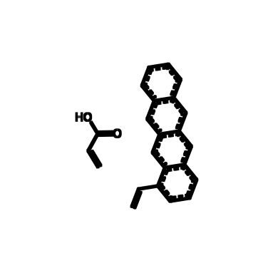 C=CC(=O)O.C=Cc1cccc2cc3cc4ccccc4cc3cc12